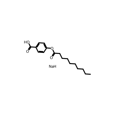 CCCCCCCCCC(=O)Oc1ccc(C(=O)O)cc1.[NaH]